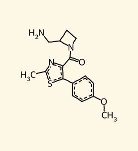 COc1ccc(-c2sc(C)nc2C(=O)N2CCC2CN)cc1